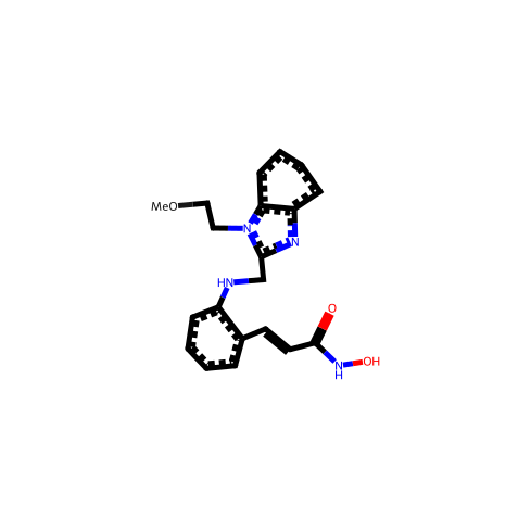 COCCn1c(CNc2ccccc2/C=C/C(=O)NO)nc2ccccc21